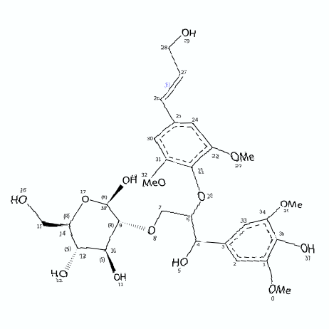 COc1cc(C(O)C(CO[C@@H]2[C@@H](O)[C@H](O)[C@@H](CO)O[C@H]2O)Oc2c(OC)cc(/C=C/CO)cc2OC)cc(OC)c1O